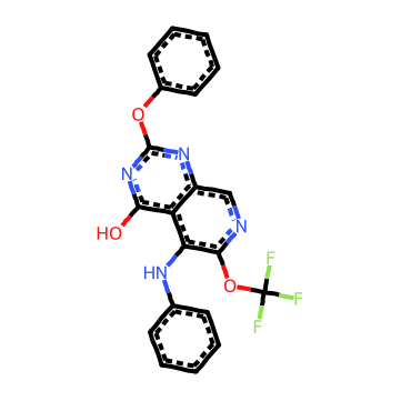 Oc1nc(Oc2ccccc2)nc2cnc(OC(F)(F)F)c(Nc3ccccc3)c12